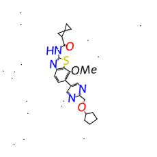 COc1c(-c2cnc(COC3CCCC3)nc2)ccc2nc(NC(=O)C3CC34CC4)sc12